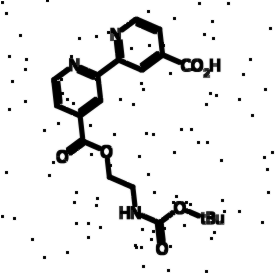 CC(C)(C)OC(=O)NCCOC(=O)c1ccnc(-c2cc(C(=O)O)ccn2)c1